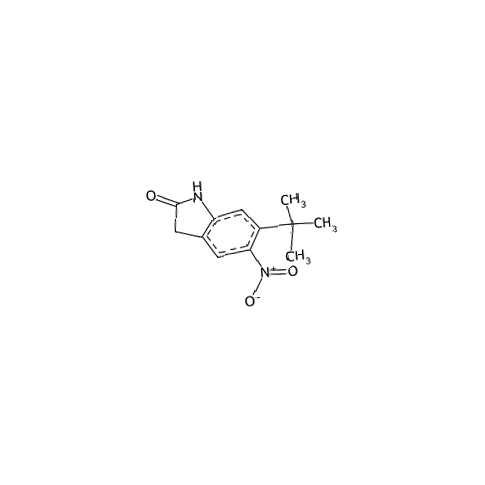 CC(C)(C)c1cc2c(cc1[N+](=O)[O-])CC(=O)N2